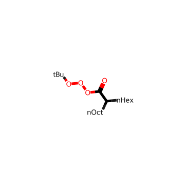 CCCCCCCCC(CCCCCC)C(=O)OOOC(C)(C)C